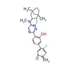 CN(c1cnc(-c2ccc(-c3cc(=O)n(C)cc3F)cc2O)nn1)[C@H]1C[C@]2(C)CC[C@@](C)(C2)[C@H]1F